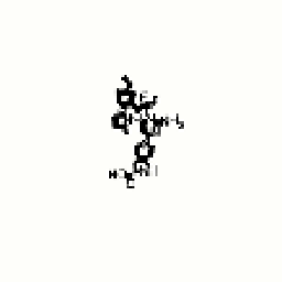 CCc1ccc(-n2ccc(C)n2)c(C(Oc2cc(N3CCC4(CC3)CN[C@H](C(=O)O)C4)nc(N)n2)C(F)(F)F)c1